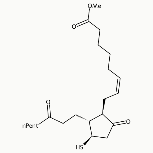 CCCCCC(=O)CC[C@H]1[C@H](S)CC(=O)[C@@H]1C/C=C\CCCCC(=O)OC